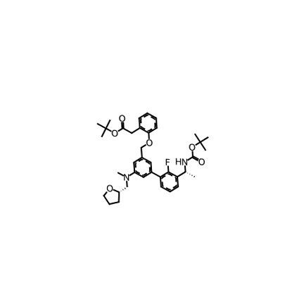 C[C@@H](NC(=O)OC(C)(C)C)c1cccc(-c2cc(COc3ccccc3CC(=O)OC(C)(C)C)cc(N(C)C[C@@H]3CCCO3)c2)c1F